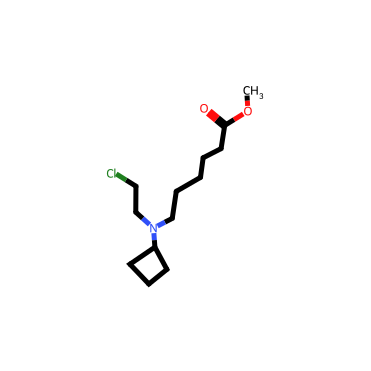 COC(=O)CCCCCN(CCCl)C1CCC1